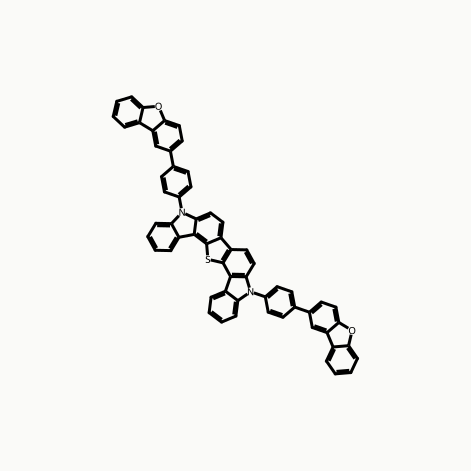 c1ccc2c(c1)oc1ccc(-c3ccc(-n4c5ccccc5c5c6sc7c(ccc8c7c7ccccc7n8-c7ccc(-c8ccc9oc%10ccccc%10c9c8)cc7)c6ccc54)cc3)cc12